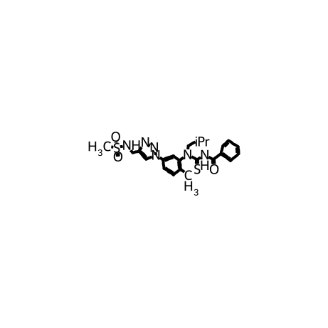 Cc1ccc(-n2cc(CNS(C)(=O)=O)nn2)cc1N(CC(C)C)C(=S)NC(=O)c1ccccc1